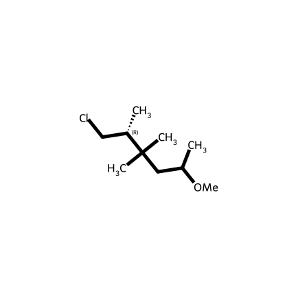 COC(C)CC(C)(C)[C@@H](C)CCl